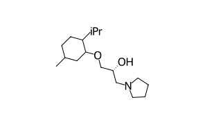 CC1CCC(C(C)C)C(OC[C@H](O)CN2CCCC2)C1